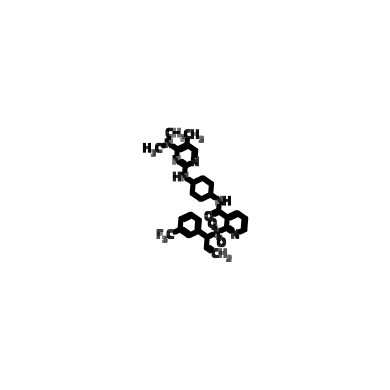 C=CC(c1cccc(C(F)(F)F)c1)S(=O)(=O)c1ncccc1C(=O)NC1CCC(Nc2ncc(C)c(N(C)C)n2)CC1